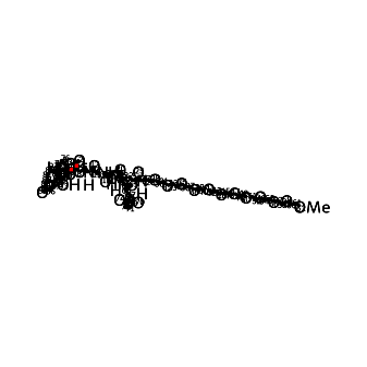 CCC(=O)O[C@]1(C(=O)COCNC(=O)CNC(=O)CNC(=O)[C@H](CCC(=O)NCCOCCOCCOCCOCCOCCOCCOCCOCCOCCOCCOCCOC)NC(=O)CCN2C(=O)C=CC2=O)[C@@H](C)CC2[C@@H]3CCC4=CC(=O)C=C[C@]4(C)[C@@]3(Cl)[C@@H](O)C[C@@]21C